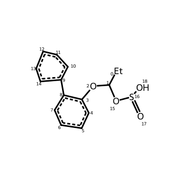 CCC(Oc1ccccc1-c1ccccc1)OS(=O)O